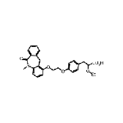 CCOC(Cc1ccc(OCCOc2cccc3c2Cc2ccccc2C(=O)N3C)cc1)C(=O)O